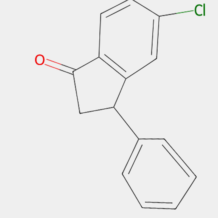 O=C1CC(c2ccccc2)c2cc(Cl)ccc21